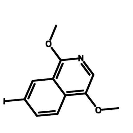 COc1cnc(OC)c2cc(I)ccc12